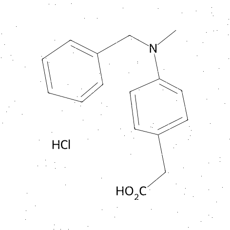 CN(Cc1ccccc1)c1ccc(CC(=O)O)cc1.Cl